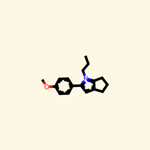 CCCn1c(-c2ccc(OC)cc2)cc2c1CCC2